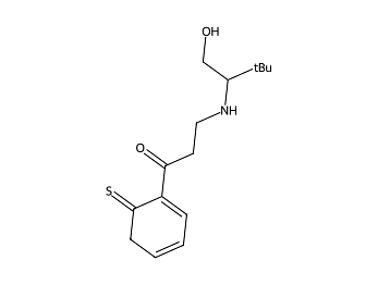 CC(C)(C)C(CO)NCCC(=O)C1=CC=CCC1=S